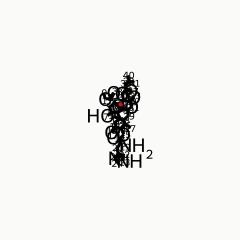 COC(=O)[C@@]12CC(O)C3C4(C)CC(=O)C(OC(=O)C(N)Cc5c[nH]cn5)=C(C)C4CC4OC(=O)C(OC(=O)C=C(C)C)C1C43CO2